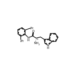 CC(C)c1cccc(C(C)C)c1NC(=O)[C@@H](N)Cc1c[nH]c2ccccc12